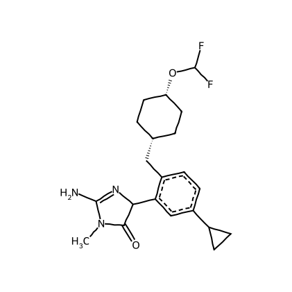 CN1C(=O)C(c2cc(C3CC3)ccc2C[C@H]2CC[C@@H](OC(F)F)CC2)N=C1N